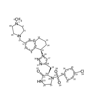 CN1CCN(Cc2ccc3c(c2)CCC[C@H]3n2cc(C[C@@H]3C(=O)NCCN3S(=O)(=O)c3ccc(Cl)cc3)nn2)CC1